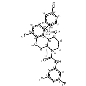 O=C(Nc1cc(F)cc(F)c1)N1CCC[C@]2(S(=O)(=O)c3ccc(Cl)cc3)c3c(F)ccc(F)c3OC[C@H]12